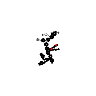 C=CCCCCCCC1(CCCCCCC=C)c2cc(-c3ccc(N(c4ccc(-c5ccc6c(c5)C(CCCCCCCC)(CCCCCCCC)c5cc(C)ccc5-6)cc4)c4ccc(C(C)CC)cc4)cc3)ccc2-c2ccc(-c3ccc4c(c3)C(CCCCCc3ccc5c(c3)CC5)(CCCCCc3ccc5c(c3)CC5)c3cc(C)ccc3-4)cc21